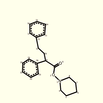 O=C(ON1CCCCC1)C(CCc1ccccc1)c1ccccc1